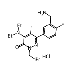 CCN(CC)c1c(C)c(-c2ccc(F)c(CN)c2)nn(CC(C)C)c1=O.Cl